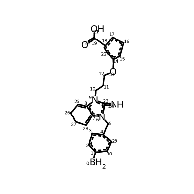 Bc1ccc(Cn2c3c(n(CCCOc4cccc(C(=O)O)c4)c2=N)=CCCC=3)cc1